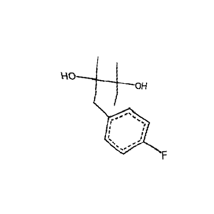 CC(C)(O)C(C)(O)Cc1ccc(F)cc1